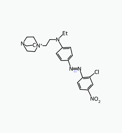 CCN(CC[N+]12CCN(CC1)CC2)c1ccc(/N=N/c2ccc([N+](=O)[O-])cc2Cl)cc1